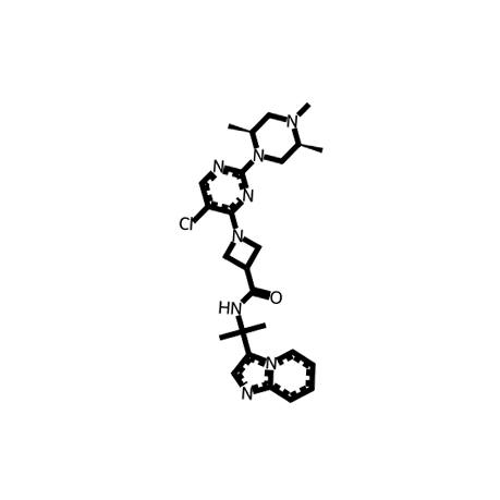 C[C@H]1CN(c2ncc(Cl)c(N3CC(C(=O)NC(C)(C)c4cnc5ccccn45)C3)n2)[C@@H](C)CN1C